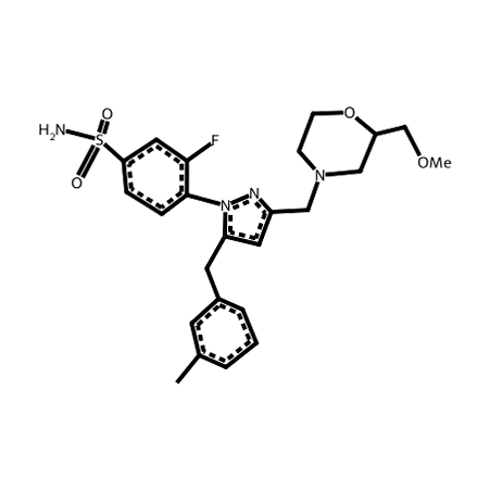 COCC1CN(Cc2cc(Cc3cccc(C)c3)n(-c3ccc(S(N)(=O)=O)cc3F)n2)CCO1